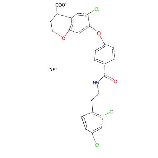 O=C(NCCc1ccc(Cl)cc1Cl)c1ccc(Oc2cc3c(cc2Cl)C(C(=O)[O-])CCO3)cc1.[Na+]